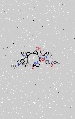 C=CC(=O)N1CC[C@H](C(=O)N(C)C(C(=O)N[C@H]2Cc3cc(O)cc(c3)-c3ccc4c(c3)c(c(-c3ccc5c(c3)CCN(C)C5)n4CC)CC(C)(C)COC(=O)[C@@H]3CCCN(N3)C2=O)C(C)C)C1